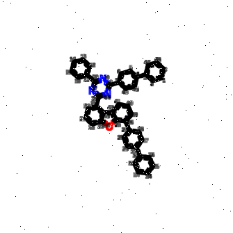 c1ccc(-c2ccc(-c3nc(-c4ccccc4)nc(-c4cccc5oc6c(-c7ccc(-c8ccccc8)cc7)cccc6c45)n3)cc2)cc1